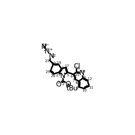 CC(C)(C)OC(=O)n1c(-c2cc3ccccc3nc2Cl)cc2cc(CN=[N+]=[N-])ccc21